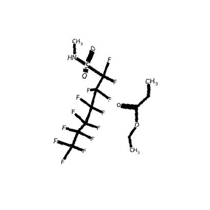 CCOC(=O)CC.CNS(=O)(=O)C(F)(F)C(F)(F)C(F)(F)C(F)(F)C(F)(F)C(F)(F)F